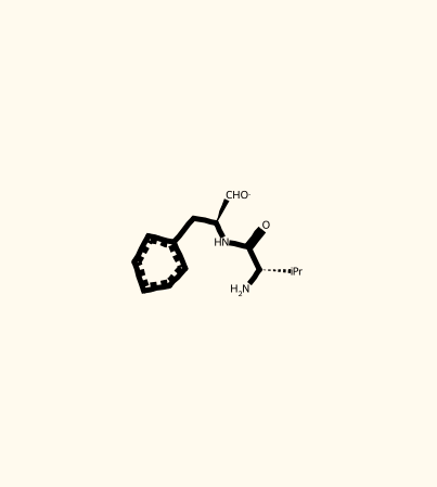 CC(C)[C@H](N)C(=O)N[C@H]([C]=O)Cc1ccccc1